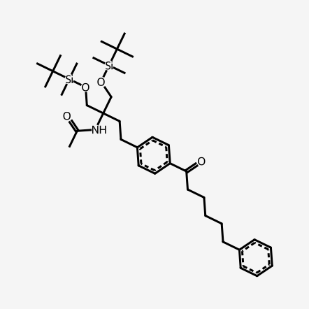 CC(=O)NC(CCc1ccc(C(=O)CCCCCc2ccccc2)cc1)(CO[Si](C)(C)C(C)(C)C)CO[Si](C)(C)C(C)(C)C